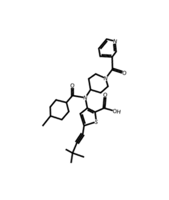 CC1CCC(C(=O)N(c2cc(C#CC(C)(C)C)sc2C(=O)O)C2CCN(C(=O)c3cccnc3)CC2)CC1